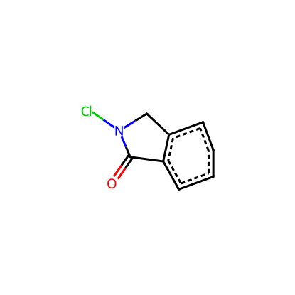 O=C1c2ccccc2CN1Cl